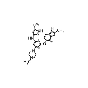 CCCc1cc(Nc2cc(N3CCN(C)CC3)nc(Oc3ccc4[nH]c(C)cc4c3F)n2)n[nH]1